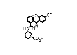 O=C(O)N1CCC[C@@H](Nc2nnc(-c3ccc(C(F)(F)F)cc3O)c3ccccc23)C1